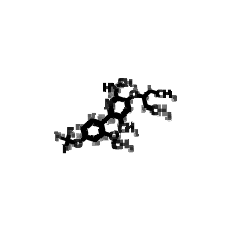 CCC(CC)Oc1cc(C)c(-c2ccc(OC(F)(F)F)cc2OC)nc1NC